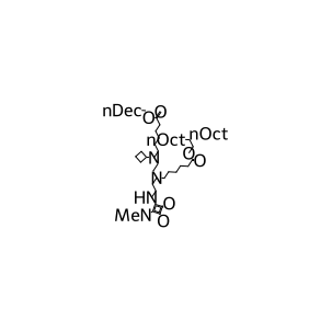 CCCCCCCCCCCOC(=O)CCCCCN(CCN(CCCCCC(=O)OCC(CCCCCCCC)CCCCCCCC)CCNc1c(NC)c(=O)c1=O)C1CCC1